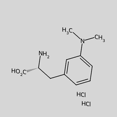 CN(C)c1cccc(C[C@@H](N)C(=O)O)c1.Cl.Cl